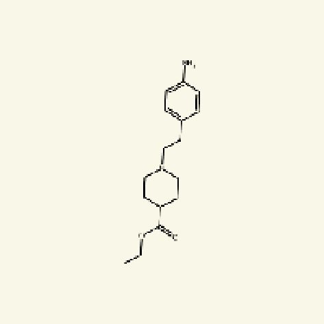 CCOC(=O)C1CCN(CCc2ccc(N)cc2)CC1